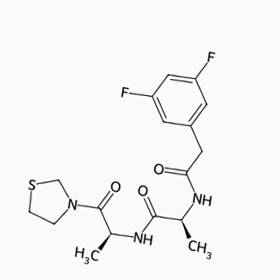 C[C@H](NC(=O)Cc1cc(F)cc(F)c1)C(=O)N[C@@H](C)C(=O)N1CCSC1